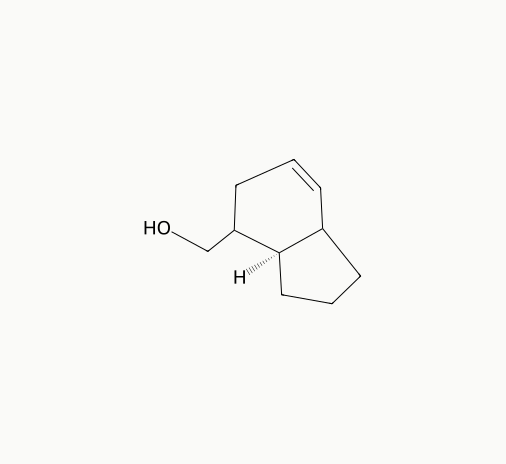 OCC1CC=CC2CCC[C@H]21